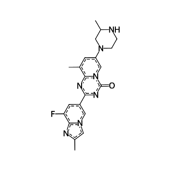 Cc1cn2cc(-c3nc(=O)n4cc(N5CCNC(C)C5)cc(C)c4n3)cc(F)c2n1